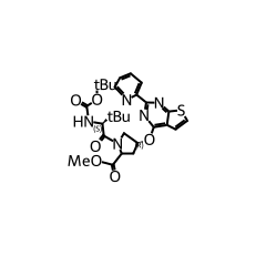 COC(=O)C1C[C@@H](Oc2nc(-c3ccccn3)nc3sccc23)CN1C(=O)[C@@H](NC(=O)OC(C)(C)C)C(C)(C)C